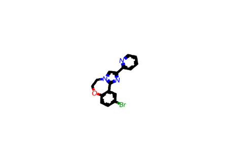 Brc1ccc2c(c1)-c1nc(-c3ccccn3)cn1CCO2